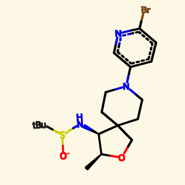 C[C@@H]1OCC2(CCN(c3ccc(Br)nc3)CC2)[C@@H]1N[S+]([O-])C(C)(C)C